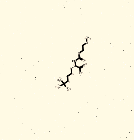 COCCOC(=O)N[C@@H](CCCCC(C)(C)C)C(=O)O